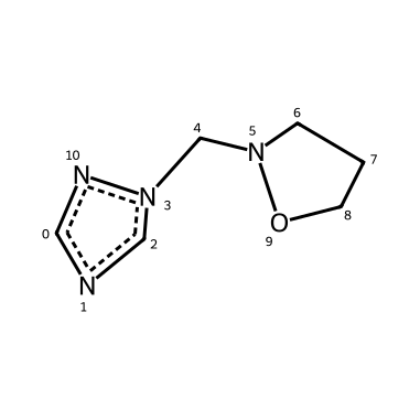 c1ncn(CN2CCCO2)n1